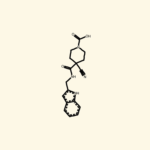 N#CC1(C(=O)NCc2cc3ccccc3[nH]2)CCN(C(=O)O)CC1